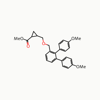 COC(=O)C1CC1COCc1cccc(-c2ccc(OC)cc2)c1-c1ccc(OC)cc1